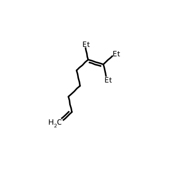 C=CCCCC(CC)=C(CC)CC